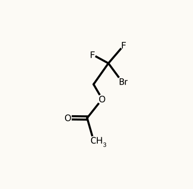 CC(=O)OCC(F)(F)Br